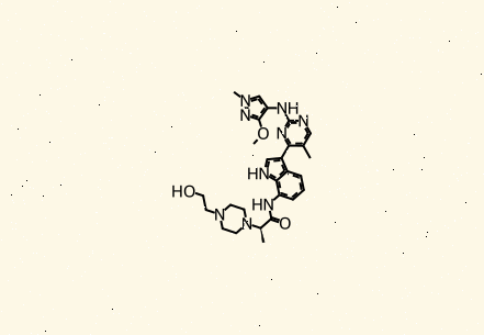 COc1nn(C)cc1Nc1ncc(C)c(-c2c[nH]c3c(NC(=O)[C@@H](C)N4CCN(CCO)CC4)cccc23)n1